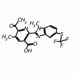 CC(=O)c1nc(-c2nc3cc(SC(F)(F)F)ccc3n2C)c(C(=O)O)cc1C